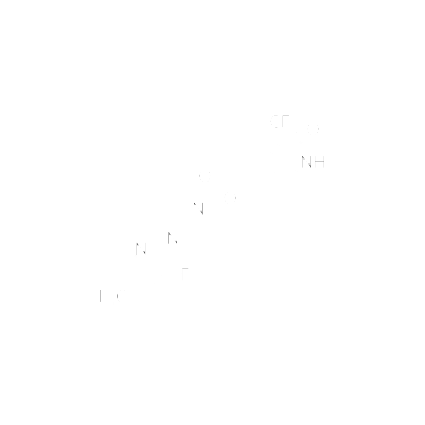 O=C(OCCc1c[nH]c(=O)c(C(F)(F)F)c1)N1CCN(c2ncc(C(F)(F)F)cc2F)CC1